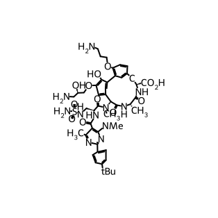 CNc1nc(-c2ccc(C(C)(C)C)cc2)nc(C)c1C(=O)N[C@@H](CNS(N)(=O)=O)C(=O)N(C)[C@@H]1C(=O)N[C@@H](C)C(=O)N[C@H](C(=O)O)Cc2ccc(OCCCN)c(c2)-c2cc1cc(OC[C@H](O)CN)c2O